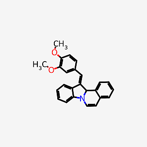 COc1ccc(C=C2c3ccccc3N3C=Cc4ccccc4C23)cc1OC